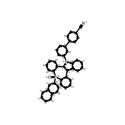 N#Cc1ccc(-c2cccc(-n3c4c(c5ccccc53)-c3ccccc3P(=O)(c3ccc5ccccc5c3)c3ccccc3-4)c2)cc1